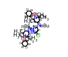 CCCCN(C1=NN(N(CCCC)C2CC(C)(C)N(OC3CCCCC3)C(C)(C)C2)NC(Cl)=C1)C1CC(C)(C)N(OC2CCCCC2)C(C)(C)C1